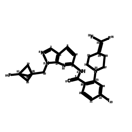 O=C(Nc1ccc2cnn(CC34CC(F)(C3)C4)c2n1)c1ccc(I)cc1N1CCC(=C(F)F)CC1